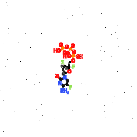 Nc1nc(=O)n([C@H]2C[C@H](F)[C@@](F)(COP(=O)(O)OP(=O)(O)OP(=O)(O)O)O2)cc1F